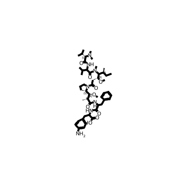 CC[C@H](C)C([C@@H](CC(=O)N1CCC[C@H]1[C@H](OC)[C@@H](C)C(=O)NC(Cc1ccccc1)C(=O)NC(Cc1ccc(N)cc1)C(=O)O)OC)N(C)C(=O)C(NC(=O)[C@H](C(C)C)N(C)C)C(C)C